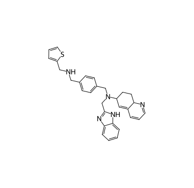 C1=CC2=CC(N(Cc3ccc(CNCc4cccs4)cc3)Cc3nc4ccccc4[nH]3)CCC2N=C1